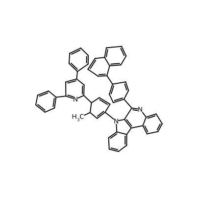 CC1C=C(n2c3ccccc3c3c4ccccc4nc(-c4ccc(-c5cccc6ccccc56)cc4)c32)C=CC1c1cc(-c2ccccc2)cc(-c2ccccc2)n1